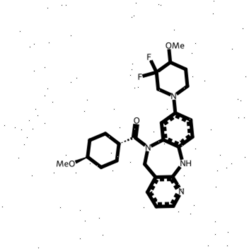 COC1CCN(c2ccc3c(c2)N(C(=O)[C@H]2CC[C@H](OC)CC2)Cc2cccnc2N3)CC1(F)F